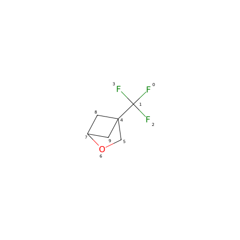 FC(F)(F)C12COC(C1)C2